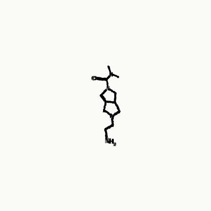 CN(C)C(=O)N1CC2CN(CCN)CC2C1